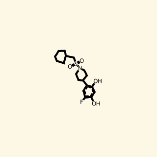 O=S(=O)(CC1CCCCC1)N1CCC(c2cc(F)c(O)cc2O)CC1